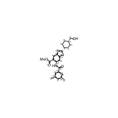 COC(=O)c1cc2nc([C@H]3CC[C@H](CO)CC3)sc2cc1NC(=O)c1cc(F)cc(C)n1